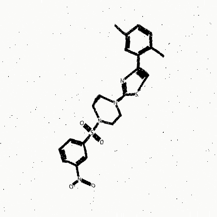 Cc1ccc(C)c(-c2csc(N3CCN(S(=O)(=O)c4cccc([N+](=O)[O-])c4)CC3)n2)c1